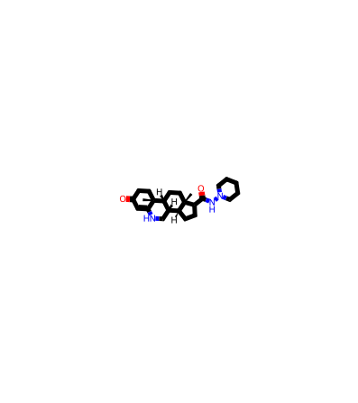 C[C@]12CCC(=O)C=C1NC[C@@H]1[C@H]2CC[C@]2(C)C(C(=O)NN3CCCCC3)CC[C@@H]12